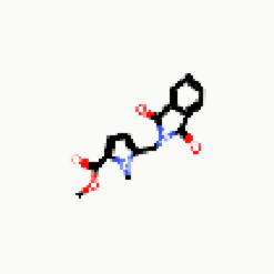 COC(=O)c1ccc(CN2C(=O)c3ccccc3C2=O)n1C